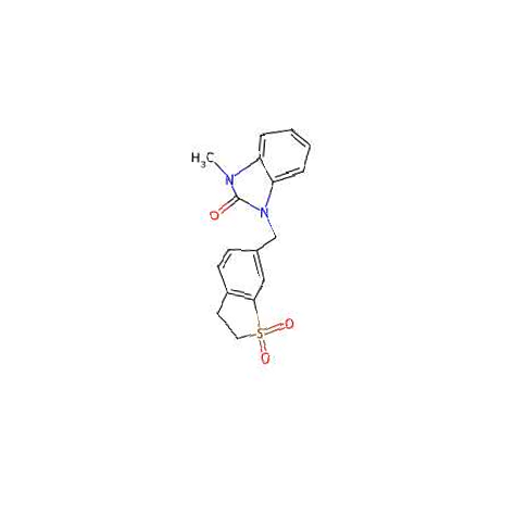 Cn1c(=O)n(Cc2ccc3c(c2)S(=O)(=O)CC3)c2ccccc21